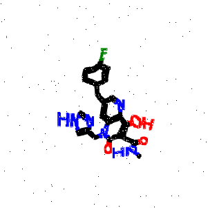 CNC(=O)c1c(O)c2ncc(Cc3ccc(F)cc3)cc2n(Cc2c[nH]cn2)c1=O